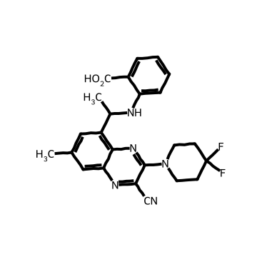 Cc1cc(C(C)Nc2ccccc2C(=O)O)c2nc(N3CCC(F)(F)CC3)c(C#N)nc2c1